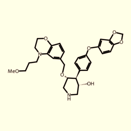 COCCCN1CCOc2ccc(CO[C@H]3CNC[C@@H](O)[C@@H]3c3ccc(Oc4ccc5c(c4)OCO5)cc3)cc21